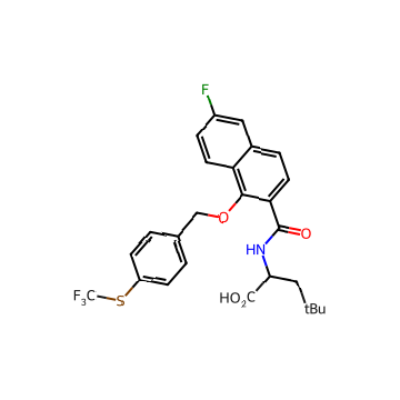 CC(C)(C)CC(NC(=O)c1ccc2cc(F)ccc2c1OCc1ccc(SC(F)(F)F)cc1)C(=O)O